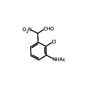 CC(=O)Nc1cccc(C(C=O)[N+](=O)[O-])c1Cl